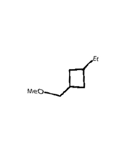 CCC1CC(COC)C1